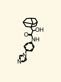 O=C(Nc1ccc(-n2ccnc2)cc1)C(O)C12CC3CC(CC(C3)C1)C2